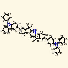 CC1(C)c2cc(-c3ccc(N(c4ccccc4)c4ccccc4)cc3)ccc2-c2nc3c(cc21)-c1ccc(-c2ccc4c(c2)c2ccccc2n4-c2ccccc2)cc1C3(C)C